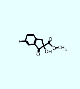 COC(=O)C1(O)Cc2ccc(F)cc2C1=O